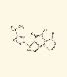 CCC(C)n1c(=O)c2c(-c3noc(C4(C)CC4)n3)ncn2c2cccc(F)c21